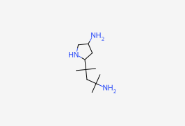 CC(C)(N)CC(C)(C)C1CC(N)CN1